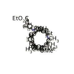 CCOC(=O)CO[C@@H]1CC[C@@H](/C=C(\C)[C@H]2OC(=O)[C@@H]3CCCCN3C(=O)C(=O)[C@]3(O)O[C@H]([C@@H](OC)C[C@@H](C)C/C(C)=C/[C@@H](CC)C(=O)C[C@H](O)[C@H]2C)[C@@H](OC)C[C@H]3C)C[C@@H]1F